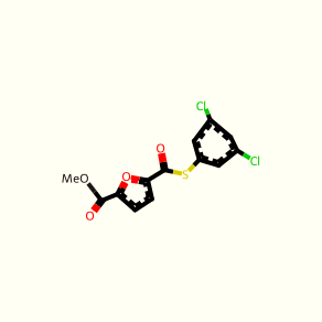 COC(=O)c1ccc(C(=O)Sc2cc(Cl)cc(Cl)c2)o1